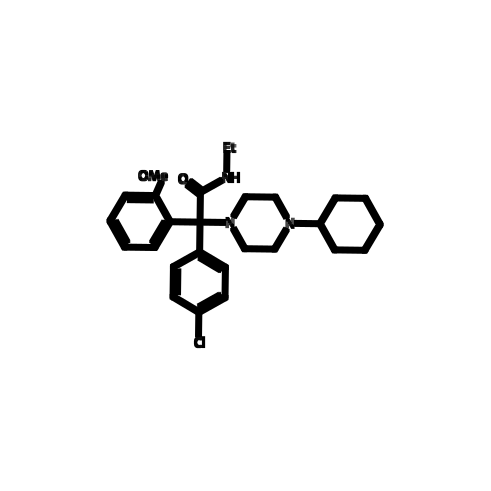 CCNC(=O)C(c1ccc(Cl)cc1)(c1ccccc1OC)N1CCN(C2CCCCC2)CC1